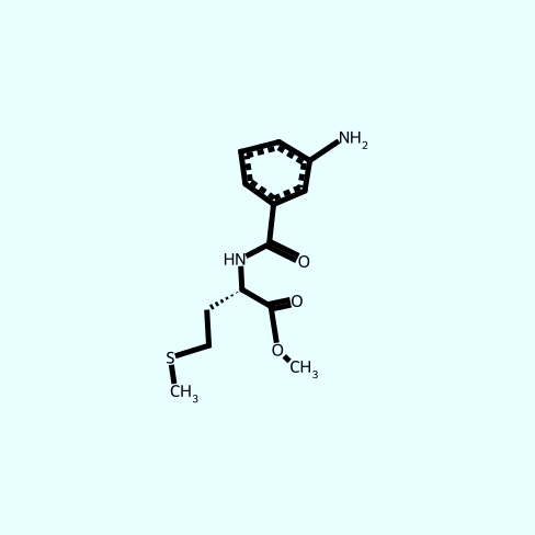 COC(=O)[C@H](CCSC)NC(=O)c1cccc(N)c1